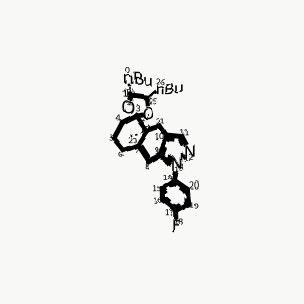 CCCC[C@H]1OC2(CCCC3=Cc4c(cnn4-c4ccc(F)cc4)C[C@@]32C)O[C@@H]1CCCC